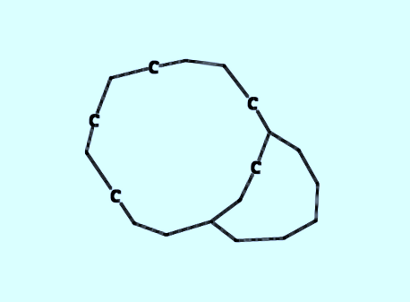 C1CCCCCC2CCCCCC(CCCC1)CC2